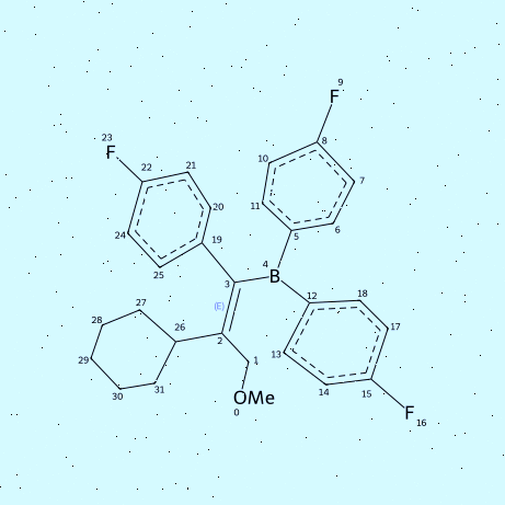 COC/C(=C(\B(c1ccc(F)cc1)c1ccc(F)cc1)c1ccc(F)cc1)C1CCCCC1